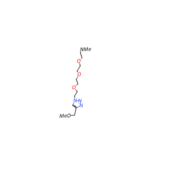 CNCCOCCOCCOCCn1cc(COC)nn1